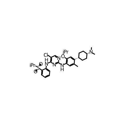 Cc1cc(Nc2ncc(Cl)c(Nc3ccccc3S(=O)(=O)C(C)C)n2)c(OC(C)C)cc1[C@H]1CC[C@@H](N(C)C)CC1